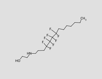 CCCCCCCC(F)(F)C(F)(F)C(F)(F)C(F)(F)CCCNCCO